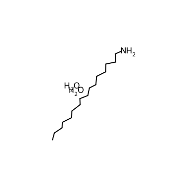 CCCCCCCCCCCCCCCCN.O.O